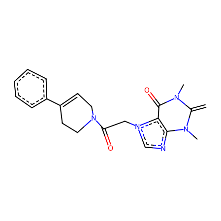 C=C1N(C)C(=O)c2c(ncn2CC(=O)N2CC=C(c3ccccc3)CC2)N1C